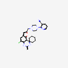 C=C1Nc2c(Cl)cc3cc(CN4CCN(c5ncccc5C#N)CC4)oc3c2C2(CCCCC2)N1